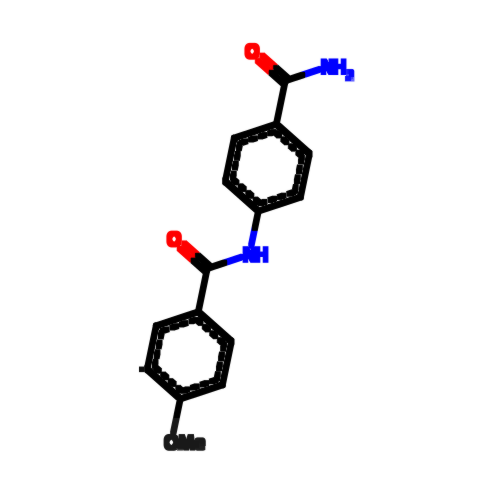 COc1[c]cc(C(=O)Nc2ccc(C(N)=O)cc2)cc1